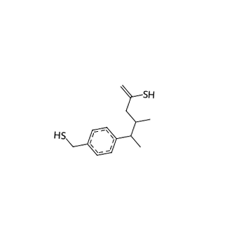 C=C(S)CC(C)C(C)c1ccc(CS)cc1